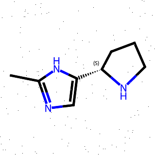 Cc1ncc([C@@H]2CCCN2)[nH]1